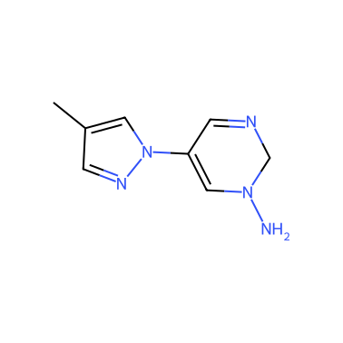 Cc1cnn(C2=CN(N)CN=C2)c1